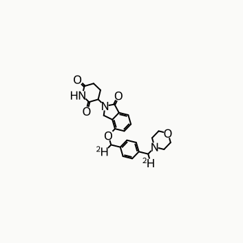 [2H]C(Oc1cccc2c1CN(C1CCC(=O)NC1=O)C2=O)c1ccc(C([2H])N2CCOCC2)cc1